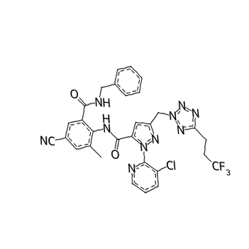 Cc1cc(C#N)cc(C(=O)NCc2ccccc2)c1NC(=O)c1cc(Cn2nnc(CCC(F)(F)F)n2)nn1-c1ncccc1Cl